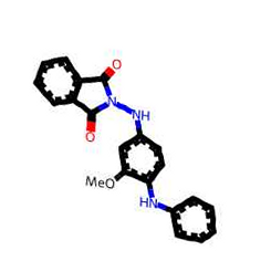 COc1cc(NN2C(=O)c3ccccc3C2=O)ccc1Nc1ccccc1